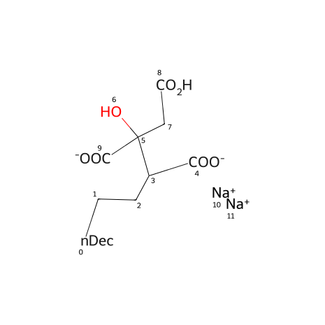 CCCCCCCCCCCCC(C(=O)[O-])C(O)(CC(=O)O)C(=O)[O-].[Na+].[Na+]